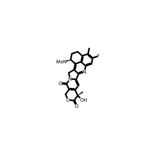 CN[C@H]1CCc2c(C)c(F)cc3nc4c(c1c23)Cn1c-4cc2c(c1=O)COC(=O)[C@@]2(C)O